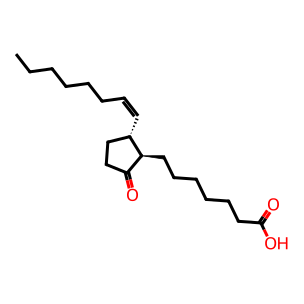 CCCCCC/C=C\[C@H]1CCC(=O)[C@@H]1CCCCCCC(=O)O